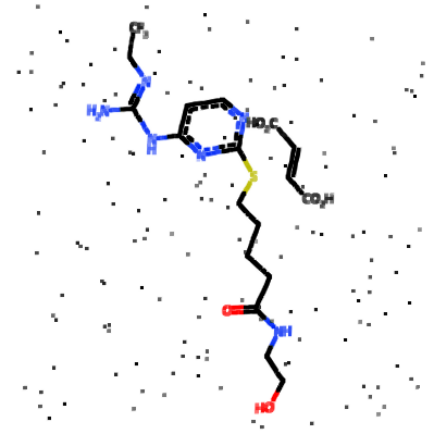 NC(=NCC(F)(F)F)Nc1ccnc(SCCCCC(=O)NCCO)n1.O=C(O)C=CC(=O)O